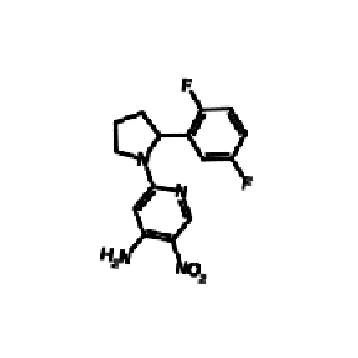 Nc1cc(N2CCCC2c2cc(F)ccc2F)ncc1[N+](=O)[O-]